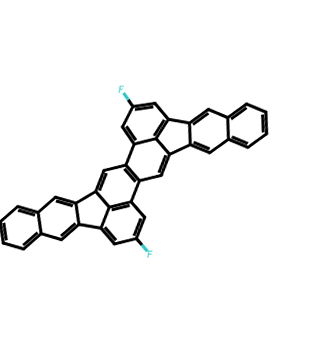 Fc1cc2c3cc4ccccc4cc3c3cc4c(cc5c6cc7ccccc7cc6c6cc(F)cc4c65)c(c1)c23